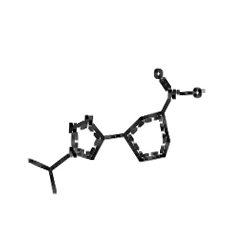 CC(C)n1cc(-c2cccc([N+](=O)[O-])c2)nn1